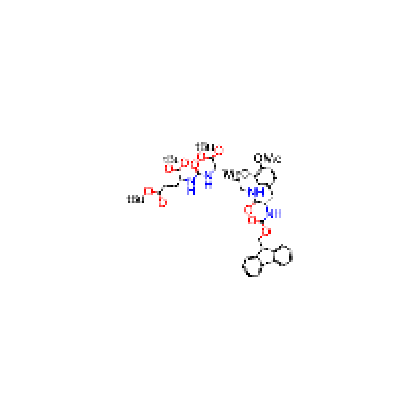 COc1ccc(C[C@H](NC(=O)OCC2c3ccccc3-c3ccccc32)C(=O)NCCCC[C@H](NC(=O)N[C@@H](CCC(=O)OC(C)(C)C)C(=O)OC(C)(C)C)C(=O)OC(C)(C)C)cc1OC